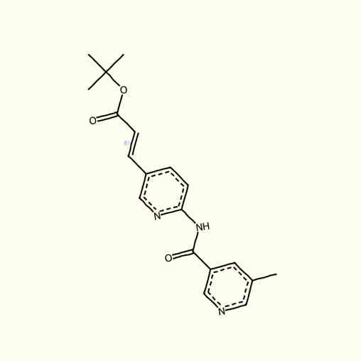 Cc1cncc(C(=O)Nc2ccc(/C=C/C(=O)OC(C)(C)C)cn2)c1